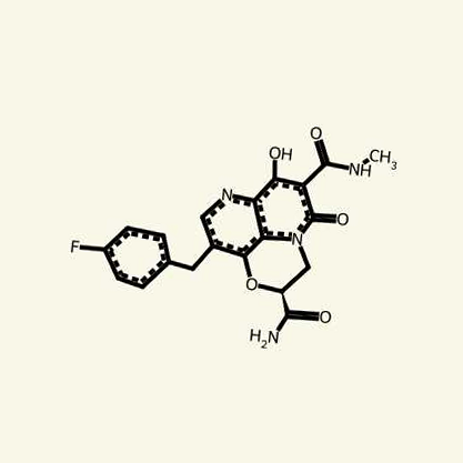 CNC(=O)c1c(O)c2ncc(Cc3ccc(F)cc3)c3c2n(c1=O)C[C@@H](C(N)=O)O3